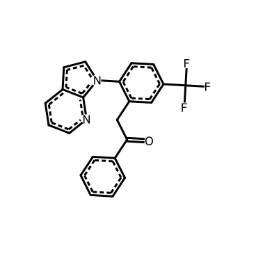 O=C(Cc1cc(C(F)(F)F)ccc1-n1ccc2cccnc21)c1ccccc1